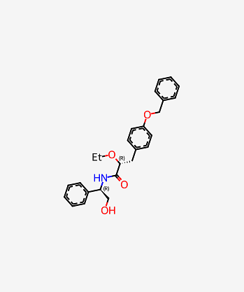 CCO[C@H](Cc1ccc(OCc2ccccc2)cc1)C(=O)N[C@@H](CO)c1ccccc1